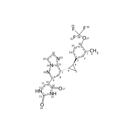 Cc1cc([C@H]2C[C@@H]2c2cc(-c3c[nH]c(=O)[nH]c3=O)nn3ccnc23)ccc1OC(F)(F)F